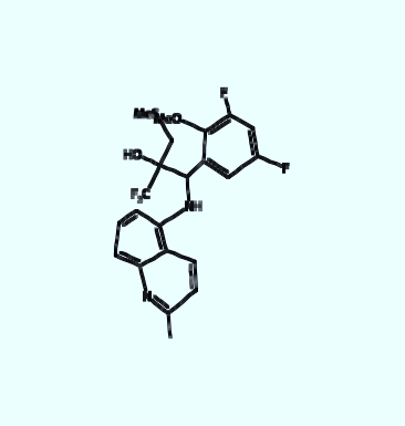 COc1c(F)cc(F)cc1C(Nc1cccc2nc(C)ccc12)C(O)(CSC)C(F)(F)F